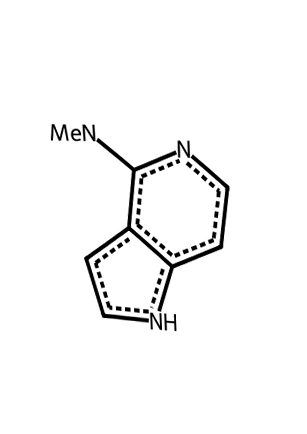 CNc1nccc2[nH]ccc12